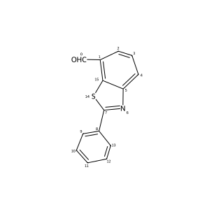 O=Cc1cccc2nc(-c3ccccc3)sc12